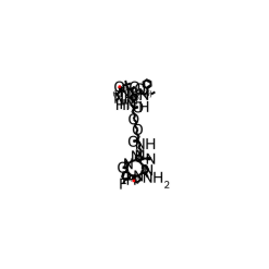 CC[C@H](NC(=O)[C@H]1C[C@@H](NC(=O)CCOCCOCCC(=O)NCCn2nc3c(c2C#N)-c2cnc(N)c(c2)N2CCC[C@@H]2c2cc(F)ccc2C(=O)N(C)C3)CN1C(=O)[C@H](NC(=O)[C@@H](C)NC)C(C)(C)C)c1ccccc1